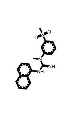 CN(C(=N)Nc1cccc2ccccc12)c1cccc(S(C)(=O)=O)c1